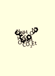 CCOC(=O)C1=C(Nc2ccc(OCc3ccccn3)cc2C)O/C(=C\c2c[nH]c3ncccc23)C1=O